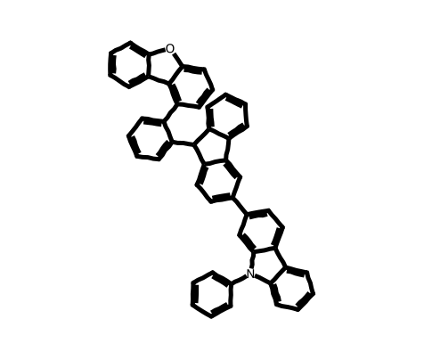 c1ccc(-n2c3ccccc3c3ccc(-c4ccc5c(c4)-c4ccccc4C5c4ccccc4-c4cccc5oc6ccccc6c45)cc32)cc1